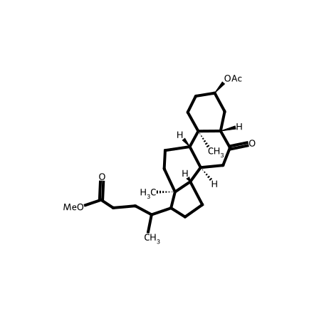 COC(=O)CCC(C)C1CC[C@H]2[C@@H]3CC(=O)[C@H]4C[C@H](OC(C)=O)CC[C@]4(C)[C@H]3CC[C@]12C